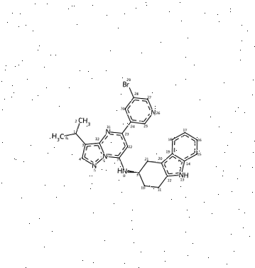 CC(C)c1cnn2c(N[C@@H]3CCc4[nH]c5ccccc5c4C3)cc(-c3cncc(Br)c3)nc12